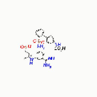 C[C@@H](CCS(C)(=O)=O)Nc1cccc(C(=N)N)c1.NS(=O)(=O)c1ccccc1-c1ccc(NC(=O)O)cc1